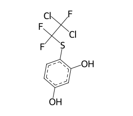 Oc1ccc(SC(F)(F)C(F)(Cl)Cl)c(O)c1